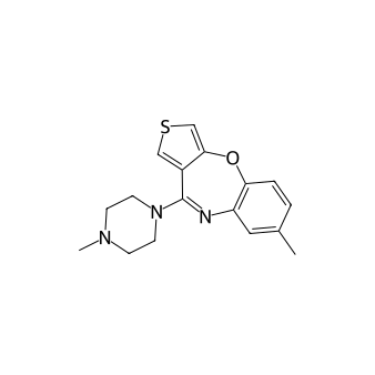 Cc1ccc2c(c1)N=C(N1CCN(C)CC1)c1cscc1O2